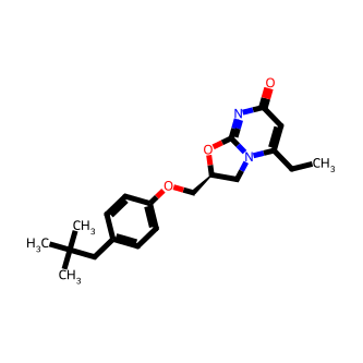 CCc1cc(=O)nc2n1C[C@@H](COc1ccc(CC(C)(C)C)cc1)O2